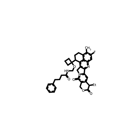 CCC1C(=O)OCc2c1cc1n(c2=O)Cc2c-1nc1cc(F)c(C)c3c1c2C(C1(OCNC(=O)CCCc2ccccc2)CCC1)CC3